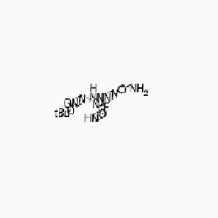 CC(C)(C)OC(=O)N1CCN(CCNc2nc(C3CNCCO3)c(F)c(N3CCN(c4ccc(CN)cc4)CC3)n2)CC1